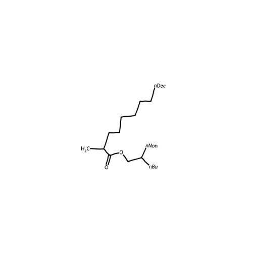 CCCCCCCCCCCCCCCCC(C)C(=O)OCC(CCCC)CCCCCCCCC